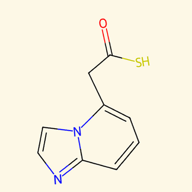 O=C(S)Cc1cccc2nccn12